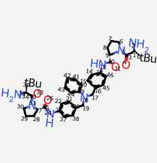 CC(C)(C)[C@H](N)C(=O)N1CCC[C@H]1C(=O)Nc1ccc(CN(Cc2ccc(NC(=O)[C@@H]3CCCN3C(=O)[C@@H](N)C(C)(C)C)cc2)c2ccccc2)cc1